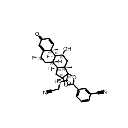 C[C@]12C=CC(=O)C=C1[C@@H](F)C[C@H]1[C@@H]3C[C@H]4OC(c5cccc(C#N)c5)O[C@@]4(C(=O)SCC#N)[C@@]3(C)C[C@H](O)[C@@]12F